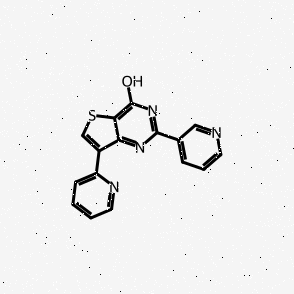 Oc1nc(-c2cccnc2)nc2c(-c3ccccn3)csc12